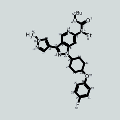 CCN(C(=O)OC(C)(C)C)c1cc2c(cn1)c(-c1cnn(C)c1)nn2C1CCC(Oc2ccc(F)cc2)CC1